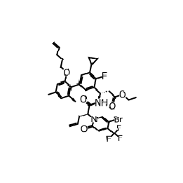 C=CCCCOc1cc(C)cc(C)c1-c1cc(C2CC2)c(F)c([C@H](CC(=O)OCC)NC(=O)[C@H](CC=C)n2cc(Br)c(C(F)(F)F)cc2=O)c1